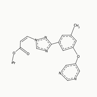 Cc1cc(Oc2cncnc2)cc(-c2ncn(/C=C\C(=O)OC(C)C)n2)c1